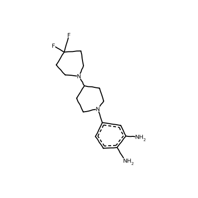 Nc1ccc(N2CCC(N3CCC(F)(F)CC3)CC2)cc1N